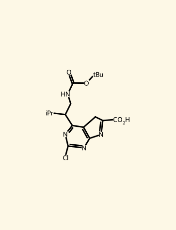 CC(C)C(CNC(=O)OC(C)(C)C)c1nc(Cl)nc2c1CC(C(=O)O)=N2